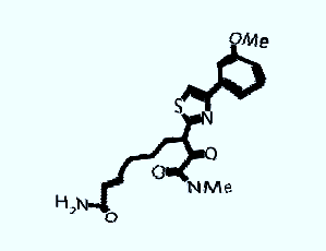 CNC(=O)C(=O)C(CCCCCC(N)=O)c1nc(-c2cccc(OC)c2)cs1